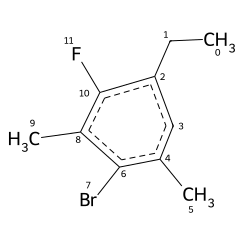 CCc1cc(C)c(Br)c(C)c1F